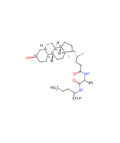 CC(C)C(NC(=O)CCC(C)[C@H]1CC[C@H]2[C@@H]3CC[C@@H]4C[C@H](O)CC[C@]4(C)[C@H]3CC[C@]12C)C(=O)NC(CCC(=O)O)C(=O)O